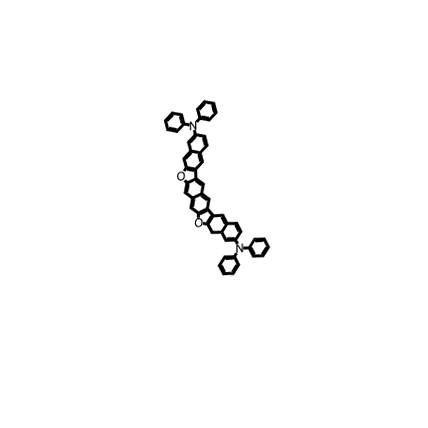 C1=CC(N(c2ccccc2)c2ccccc2)=CC2Cc3oc4cc5cc6oc7cc8cc(N(c9ccccc9)c9ccccc9)ccc8cc7c6cc5cc4c3C=C12